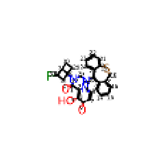 O=C1c2c(O)c(=O)ccn2N([C@H]2c3ccccc3CSc3ccccc32)CN1C12CCC1C(F)C2